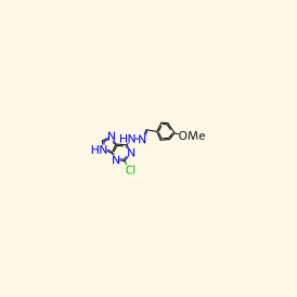 COc1ccc(C=NNc2nc(Cl)nc3[nH]cnc23)cc1